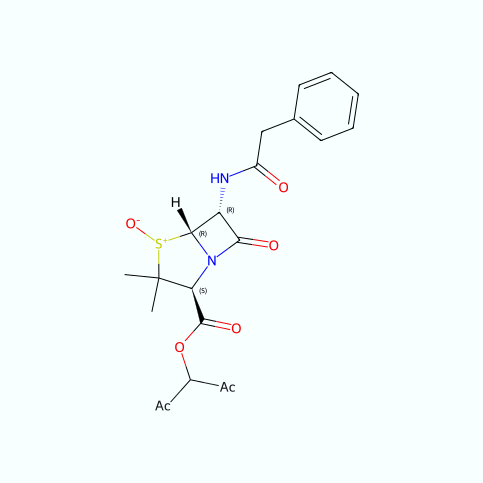 CC(=O)C(OC(=O)[C@@H]1N2C(=O)[C@@H](NC(=O)Cc3ccccc3)[C@H]2[S+]([O-])C1(C)C)C(C)=O